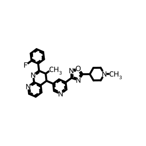 CC1C(c2ccccc2F)=Nc2ncccc2C1c1cncc(-c2noc(C3CCN(C)CC3)n2)c1